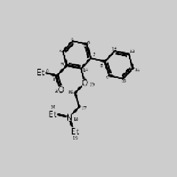 CCC(=O)c1cccc(-c2ccccc2)c1OCCN(CC)CC